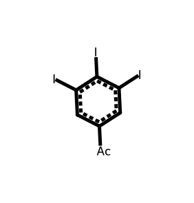 CC(=O)c1cc(I)c(I)c(I)c1